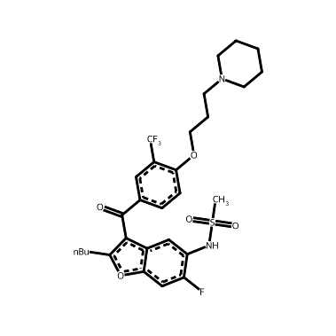 CCCCc1oc2cc(F)c(NS(C)(=O)=O)cc2c1C(=O)c1ccc(OCCCN2CCCCC2)c(C(F)(F)F)c1